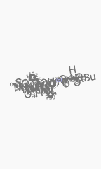 Cc1nc(CN2C(=O)CN([C@H](C(=O)N[C@@H](Cc3ccccc3)[C@H](O)CN(CC3CCCC3)S(=O)(=O)c3ccc(/C=N/OC(=O)CCNC(=O)OC(C)(C)C)cc3)C(C)C)C2=O)cs1